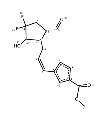 COC(=O)c1ccc(/C=C\CN2C(O)C(F)(F)C[C@@H]2C=O)s1